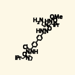 COC(=O)N[C@H](C(=O)N1C[C@@H](N)C[C@H]1c1ncc(-c2ccc(-c3ccc(-c4[nH]c([C@@H]5CCCN5C(=O)CC(C)C)nc4Cl)cc3)cc2)[nH]1)C(C)C